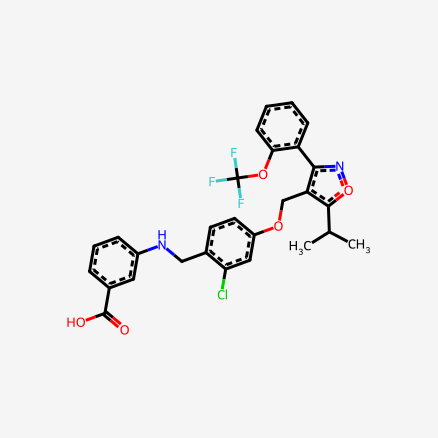 CC(C)c1onc(-c2ccccc2OC(F)(F)F)c1COc1ccc(CNc2cccc(C(=O)O)c2)c(Cl)c1